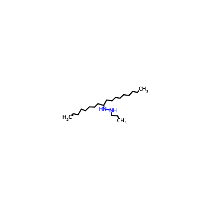 C=CCCCCCCC(CCCCCCCCC)NNCCC